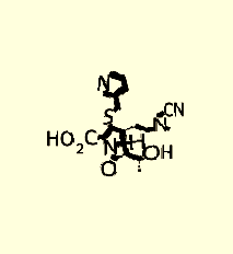 C[C@@H](O)[C@H]1C(=O)N2C(C(=O)O)=C(SCc3cccnc3)[C@H](CCN(C)CC#N)[C@H]12